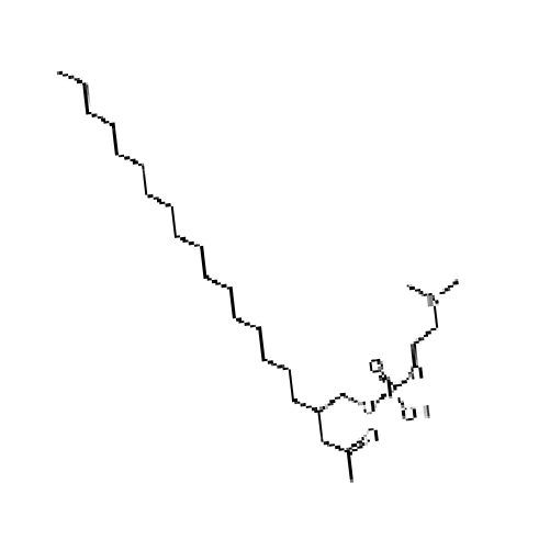 CCCCCCCCCCCCCCCCCC(COP(=O)(O)OCCN(C)C)CC(C)=O